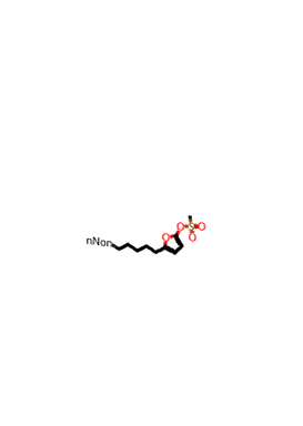 CCCCCCCCCCCCCCc1ccc(OS(C)(=O)=O)o1